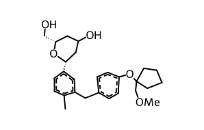 COCC1(Oc2ccc(Cc3cc([C@H]4CC(O)C[C@@H](CO)O4)ccc3C)cc2)CCCC1